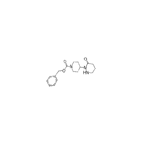 O=C(OCc1ccccc1)N1CCC(N2NCCCC2=O)CC1